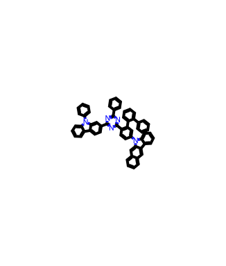 c1ccc(-c2nc(-c3ccc4c5ccccc5n(-c5ccccc5)c4c3)nc(-c3ccc(-n4c5ccccc5c5cc6ccccc6cc54)cc3-c3ccccc3-c3ccccc3)n2)cc1